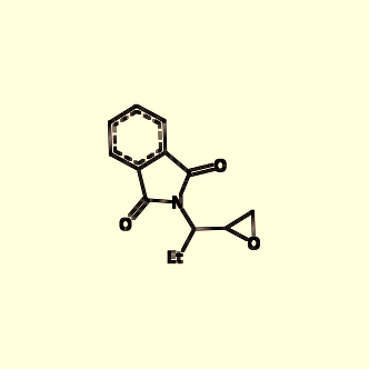 CCC(C1CO1)N1C(=O)c2ccccc2C1=O